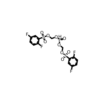 O=[PH](OCOS(=O)(=O)c1cc(F)ccc1F)OCOS(=O)(=O)c1cc(F)ccc1F